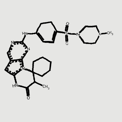 CC1C(=O)Nc2cc3cnc(NC4=CC=C(S(=O)(=O)N5CCN(C)CC5)CC4)nc3n2C12CCCCC2